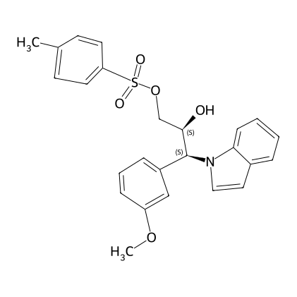 COc1cccc([C@@H]([C@H](O)COS(=O)(=O)c2ccc(C)cc2)n2ccc3ccccc32)c1